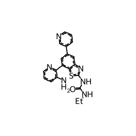 CCNC(=O)Nc1nc2cc(-c3cccnc3)cc(-c3ncccc3N)c2s1